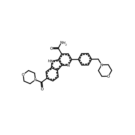 NC(=O)c1cc(-c2ccc(CN3CCOCC3)cc2)nc2c1[nH]c1cc(C(=O)N3CCOCC3)ccc12